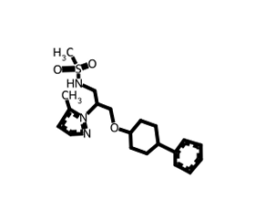 Cc1ccnn1C(CNS(C)(=O)=O)COC1CCC(c2ccccc2)CC1